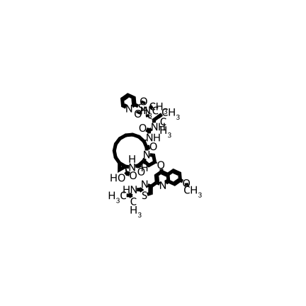 COc1ccc2c(O[C@@H]3C[C@H]4C(=O)N[C@]5(C(=O)O)CC5CCCCCCC[C@H](NC(=O)N[C@H](CN(C)S(=O)(=O)c5ccccn5)C(C)(C)C)C(=O)N4C3)cc(-c3csc(NC(C)C)n3)nc2c1